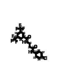 O=C(CCNC(=O)c1cc(C(F)(F)F)cc(C(F)(F)F)c1)Nc1ccc(Cl)cc1